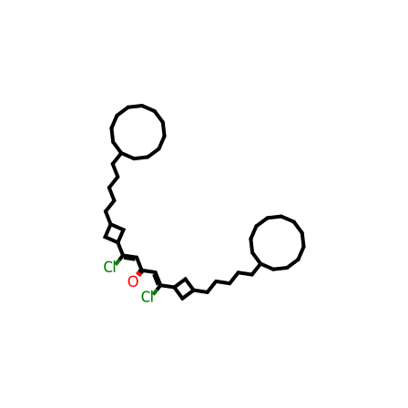 O=C(C=C(Cl)C1CC(CCCCCC2CCCCCCCCCCC2)C1)C=C(Cl)C1CC(CCCCCC2CCCCCCCCCCC2)C1